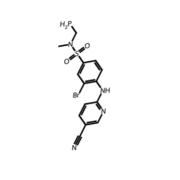 CN(CP)S(=O)(=O)c1ccc(Nc2ccc(C#N)cn2)c(Br)c1